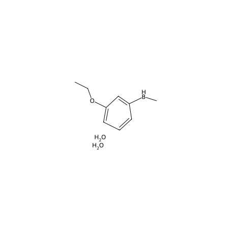 CBc1cccc(OCC)c1.O.O